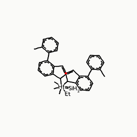 C[CH2][Hf]([CH3])([CH3])([CH3])(=[SiH2])([CH]1C=Cc2c(-c3ccccc3C)cccc21)[CH]1C=Cc2c(-c3ccccc3C)cccc21